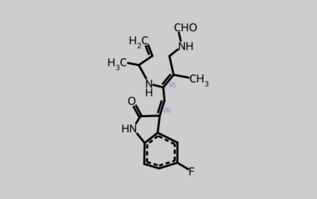 C=CC(C)NC(/C=C1\C(=O)Nc2ccc(F)cc21)=C(/C)CNC=O